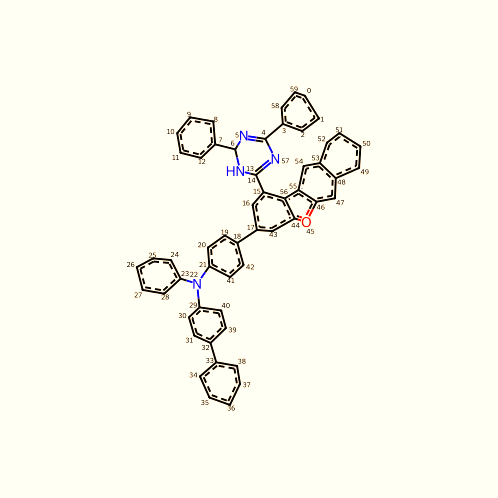 c1ccc(C2=NC(c3ccccc3)NC(c3cc(-c4ccc(N(c5ccccc5)c5ccc(-c6ccccc6)cc5)cc4)cc4oc5cc6ccccc6cc5c34)=N2)cc1